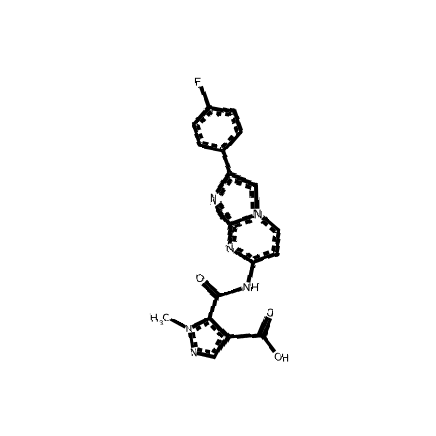 Cn1ncc(C(=O)O)c1C(=O)Nc1ccn2cc(-c3ccc(F)cc3)nc2n1